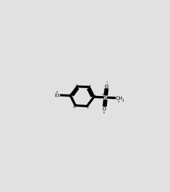 CCC1=CC=C(S(C)(=O)=O)CC1